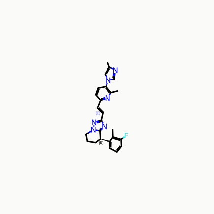 Cc1cn(-c2ccc(/C=C/c3nc4n(n3)CCC[C@@H]4c3cccc(F)c3C)nc2C)cn1